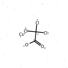 O=C([O-])C(Cl)(Cl)Cl.[Cs+]